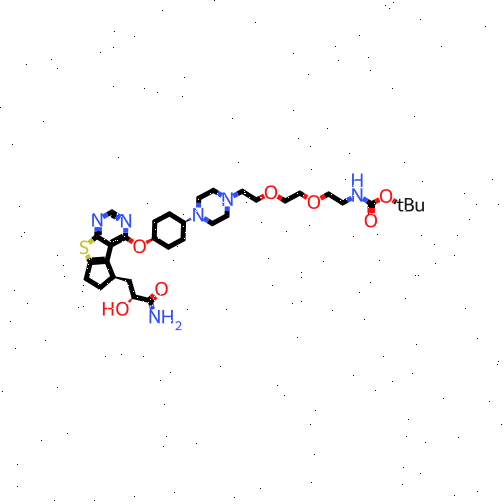 CC(C)(C)OC(=O)NCCOCCOCCN1CCN([C@H]2CC[C@H](Oc3ncnc4sc5c(c34)[C@@H](C[C@@H](O)C(N)=O)CC5)CC2)CC1